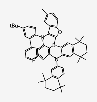 Cc1ccc2oc3c(c2c1)N(c1ccc(C(C)(C)C)cc1-c1ccccc1)c1cc(F)cc2c1B3c1cc3c(cc1N2c1ccc2c(c1)C(C)(C)CCC2(C)C)C(C)(C)CCC3(C)C